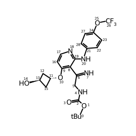 CC(C)(C)OC(=O)NCC(=N)c1c(O[C@H]2C[C@H](O)C2)ccnc1Nc1ccc(OC(F)(F)F)cc1